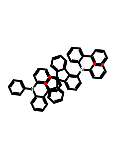 c1ccc(-c2ccccc2N(c2ccccc2)c2cccc3c2-c2ccccc2C32c3ccccc3-c3c(N(c4ccccc4)c4ccccc4-c4ccccc4)cccc32)cc1